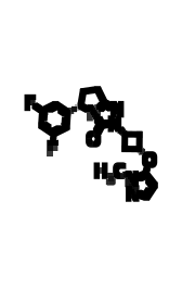 Cn1nccc1O[C@H]1C[C@H](n2nc3n(c2=O)[C@H](c2cc(F)cc(F)c2)CC3)C1